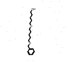 OCCCCCOCCCCCOCc1ccccc1